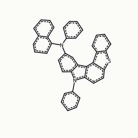 c1ccc(N(c2ccc3c(c2)c2c4c(ccc2n3-c2ccccc2)sc2ccccc24)c2cccc3ccccc23)cc1